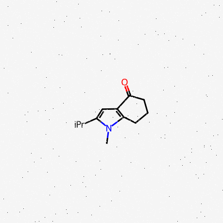 CC(C)c1cc2c(n1C)CCCC2=O